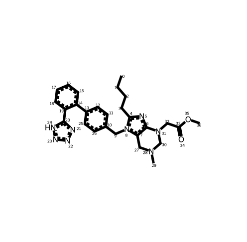 CCCCc1nc2c(n1Cc1ccc(-c3ccccc3-c3nnn[nH]3)cc1)CN(C)CN2CC(=O)OC